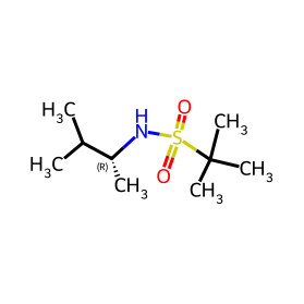 CC(C)[C@@H](C)NS(=O)(=O)C(C)(C)C